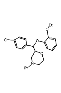 CCOc1ccccc1OC(c1ccc(Cl)cc1)C1CN(C(C)C)CCO1